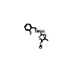 CC1=NC(NN=Cc2ccccc2F)SC1=C=O